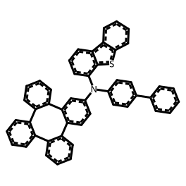 c1ccc(-c2ccc(N(c3ccc4c(c3)-c3ccccc3-c3ccccc3-c3ccccc3-4)c3cccc4c3sc3ccccc34)cc2)cc1